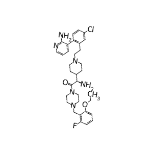 CCOc1cccc(F)c1CN1CCN(C(=O)[C@H](N)C2CCN(CCc3cc(Cl)ccc3-c3cccnc3N)CC2)CC1